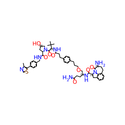 Cc1ncsc1-c1ccc(CNC(=O)C2C[C@@H](O)CN2C(=O)[C@@H](NC(=O)CCc2ccc(CCCOC[C@H](CCC(N)=O)NC(=O)[C@@H]3Cc4cccc5c4N3C(=O)[C@@H](N)CC5)cc2)C(C)(C)C)cc1